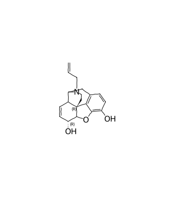 C=CCN1CC[C@@]23c4c5ccc(O)c4OC2[C@H](O)C=CC3C1C5